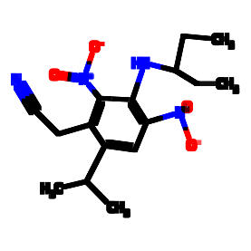 CCC(CC)Nc1c([N+](=O)[O-])cc(C(C)C)c(CC#N)c1[N+](=O)[O-]